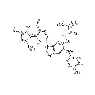 Cc1ccc(Nc2cc3ncn(-c4ccc(C(F)F)c(-n5nc(C#N)cc5C)n4)c3cc2OCC(=O)N(C)C)nn1